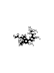 Cc1ccc(C(CNC(=O)CF)(OC(=O)C(F)(F)F)C(F)(F)F)cc1-c1cnc(N)c(C(=O)NC(C)C)n1